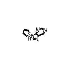 C1=C[SH](n2cnc3cncnc32)C=C1